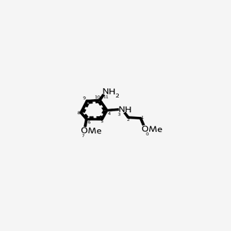 COCCNc1cc(OC)ccc1N